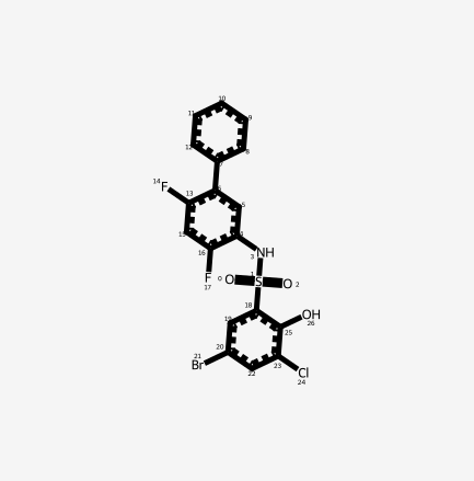 O=S(=O)(Nc1cc(-c2ccccc2)c(F)cc1F)c1cc(Br)cc(Cl)c1O